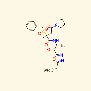 CCC(NC(=O)C(C)(CC(=O)N1CCCC1)S(=O)(=O)Cc1ccccc1)C(=O)c1nnc(COC)o1